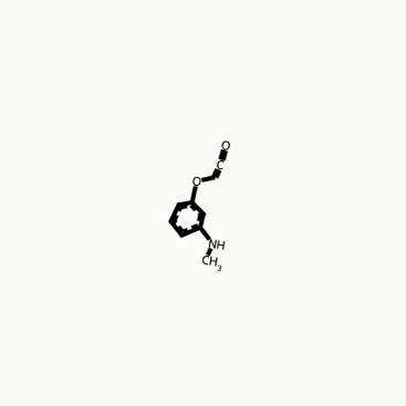 CNc1cccc(OC=C=O)c1